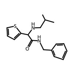 CC(C)CNC(C(=O)NCc1ccccc1)c1cccs1